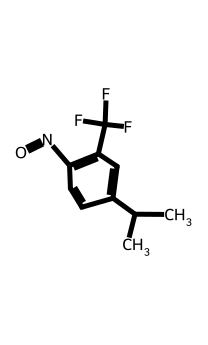 CC(C)c1ccc(N=O)c(C(F)(F)F)c1